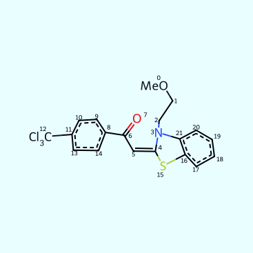 COCCN1C(=CC(=O)c2ccc(C(Cl)(Cl)Cl)cc2)Sc2ccccc21